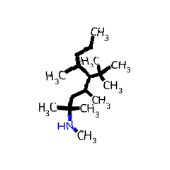 CCCC(C)C(C(C)CC(C)(C)NC)C(C)(C)C